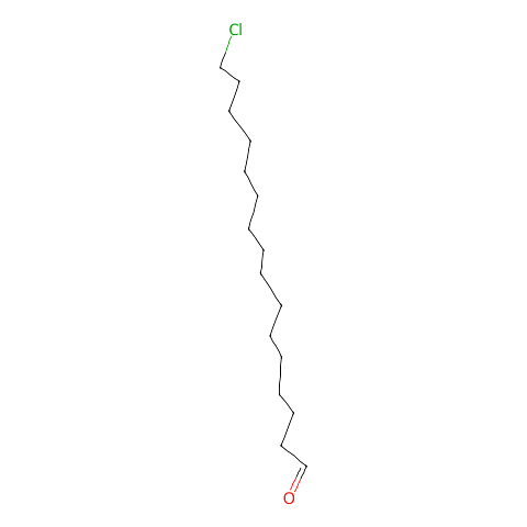 O=CCCCCCCCCCCCCCCCCl